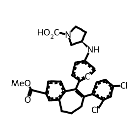 COC(=O)c1ccc2c(c1)CCCC(c1ccc(Cl)cc1Cl)=C2c1ccc(N[C@@H]2CCN(C(=O)O)C2)cc1